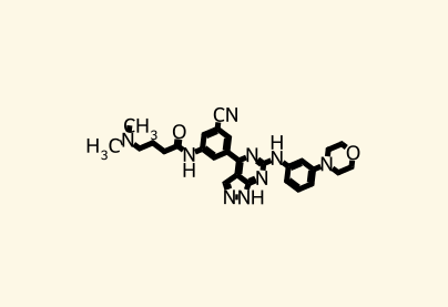 CN(C)CCCC(=O)Nc1cc(C#N)cc(-c2nc(Nc3cccc(N4CCOCC4)c3)nc3[nH]ncc23)c1